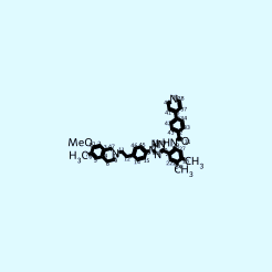 COc1cc2c(cc1C)CCN(CCc1ccc(-n3nnc(-c4cc(C)c(C)cc4NC(=O)c4ccc(-c5ccncc5)cc4)n3)cc1)C2